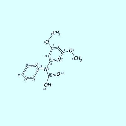 COc1cc(OC)nc(N(C(=O)O)c2ccccc2)c1